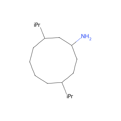 CC(C)C1CCCCC(C(C)C)CC(N)CC1